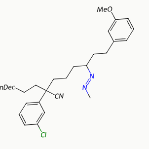 CCCCCCCCCCCCC(C#N)(CCCC(CCc1cccc(OC)c1)N=NC)c1cccc(Cl)c1